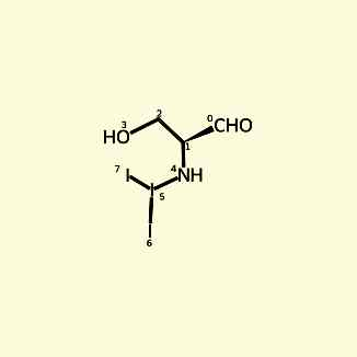 O=C[C@H](CO)NI(I)I